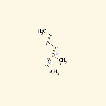 CC=C/C=C(C)\N=C/C